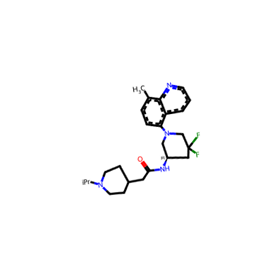 Cc1ccc(N2C[C@H](NC(=O)CC3CCN(C(C)C)CC3)CC(F)(F)C2)c2cccnc12